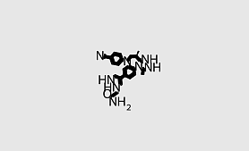 CC(=N)N1C(=N)[C@H](C)CN(c2ccc(C#N)cc2)c2cc(/C(C=N)=C/NCC(N)=O)ccc21